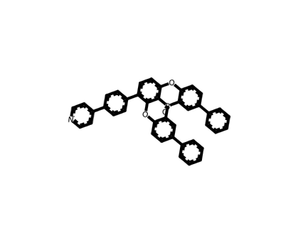 O=P12c3cc(-c4ccccc4)ccc3Oc3ccc(-c4ccc(-c5ccncc5)cc4)c(c31)Oc1ccc(-c3ccccc3)cc12